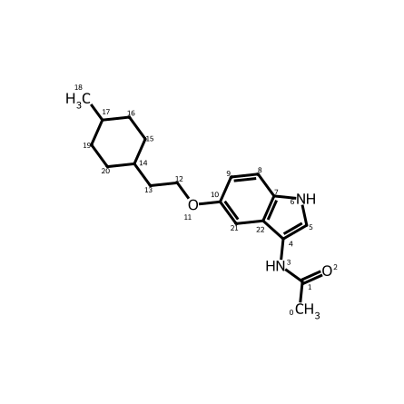 CC(=O)Nc1c[nH]c2ccc(OCCC3CCC(C)CC3)cc12